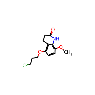 COc1ccc(OCCCCl)c2c1NC(=O)CC2